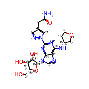 NC(=O)Cc1cnn(-c2nc(N[C@@H]3CCOC3)c3ncn([C@@H]4O[C@H](CO)[C@@H](O)[C@@H]4O)c3n2)c1